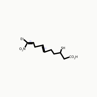 CC/C(=C/C/C=C/CCC(S)CC(=O)O)[N+](=O)[O-]